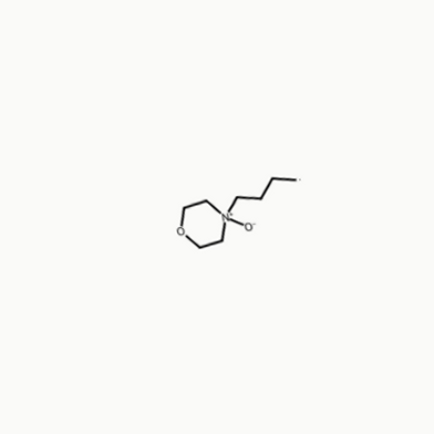 [CH2]CCC[N+]1([O-])CCOCC1